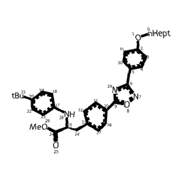 CCCCCCCOc1ccc(-c2noc(-c3ccc(C[C@H](Nc4ccc(C(C)(C)C)cc4)C(=O)OC)cc3)n2)cc1